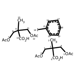 CC(=O)OCC(C)(COC(C)=O)C(=O)O.CC(=O)OCC(C)(COC(C)=O)C(=O)O.Ic1ccccc1